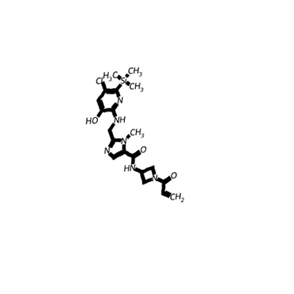 C=CC(=O)N1CC(NC(=O)c2cnc(CNc3nc([Si](C)(C)C)c(Cl)cc3O)n2C)C1